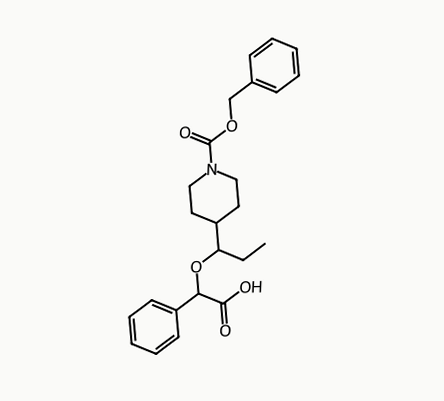 CCC(OC(C(=O)O)c1ccccc1)C1CCN(C(=O)OCc2ccccc2)CC1